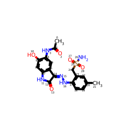 CC(=O)Nc1cc2c(cc1O)NC(=O)C2=NNc1ccc(C)cc1CS(N)(=O)=O